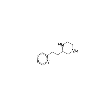 c1ccc(CCC2CNCCN2)nc1